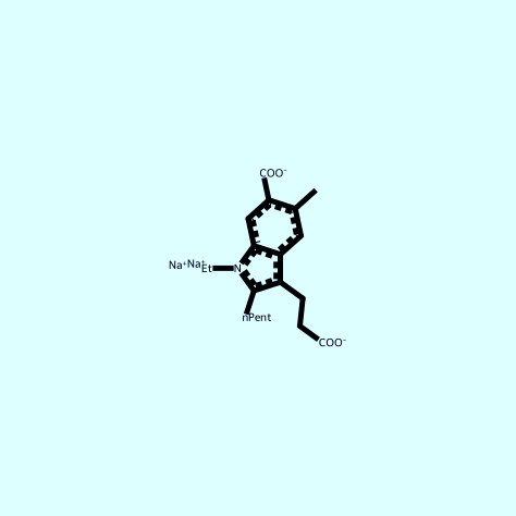 CCCCCc1c(CCC(=O)[O-])c2cc(C)c(C(=O)[O-])cc2n1CC.[Na+].[Na+]